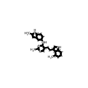 Cc1cc2cc(Nc3nc(N)ncc3CCc3c[nH]c4cccc(C)c34)ccc2[nH]1